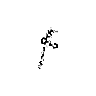 COCCOCCOCCOc1cccc(C2=NC(C)(C(=O)O)CS2)c1OC(=O)N1CCCC1